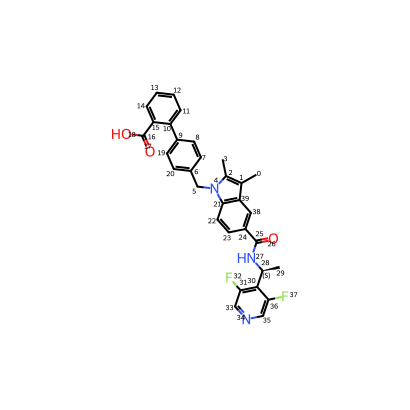 Cc1c(C)n(Cc2ccc(-c3ccccc3C(=O)O)cc2)c2ccc(C(=O)N[C@@H](C)c3c(F)cncc3F)cc12